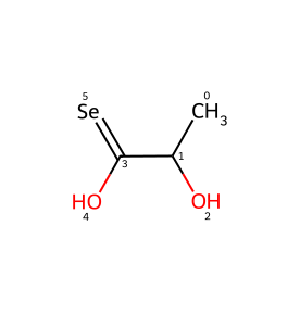 CC(O)C(O)=[Se]